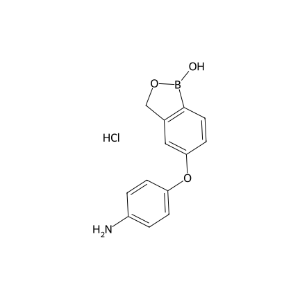 Cl.Nc1ccc(Oc2ccc3c(c2)COB3O)cc1